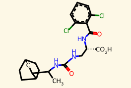 CC(NC(=O)NC[C@H](NC(=O)c1c(Cl)cccc1Cl)C(=O)O)C1CC2CCC1CC2